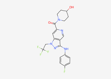 O=C(c1cc2c(cn1)c(Nc1ccc(F)cc1)nn2CC(F)(F)F)N1CCC(O)CC1